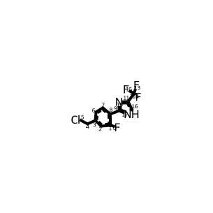 Fc1cc(CCl)ccc1-c1nc(C(F)(F)F)c[nH]1